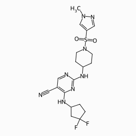 Cn1cc(S(=O)(=O)N2CCC(Nc3ncc(C#N)c(NC4CCC(F)(F)C4)n3)CC2)cn1